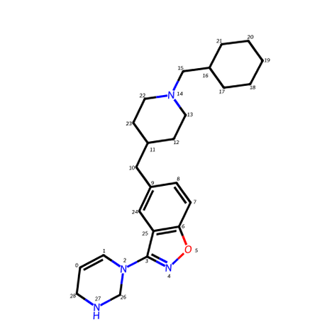 C1=CN(c2noc3ccc(CC4CCN(CC5CCCCC5)CC4)cc23)CNC1